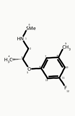 CSNC[C@@H](C)Oc1cc(C)cc(F)c1